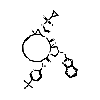 CC(C)(C)C1=CSC(N[C@H]2CCCCC/C=C\[C@@H]3C[C@@]3(C(=O)NS(=O)(=O)C3CC3)NC(=O)[C@@H]3C[C@@H](Oc4nc5ccccc5s4)CN3C2=O)=C=C1